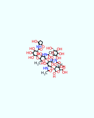 CC(=O)N[C@H]1[C@H](O[C@H]2[C@H](O)[C@@H](NC(C)=O)[C@H](OC3C(O)O[C@H](C(=O)O)[C@@](C)(O)[C@@H]3OC(N)=O)O[C@@H]2CO[C@@H]2O[C@H](CO)[C@@H](O)[C@H](O)[C@H]2O)O[C@H](C)[C@@H](O[C@@H]2O[C@H](C(=O)NC3=C(O)CCC3=O)[C@H](O)[C@H](O)[C@H]2O)[C@@H]1O